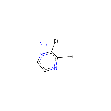 CCc1nccnc1CC.N